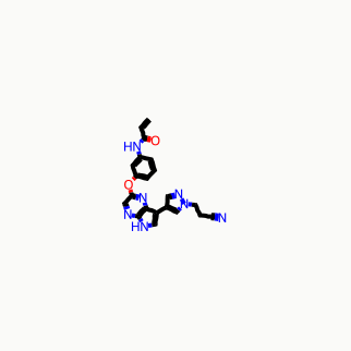 C=CC(=O)Nc1cccc(Oc2cnc3[nH]cc(-c4cnn(CCC#N)c4)c3n2)c1